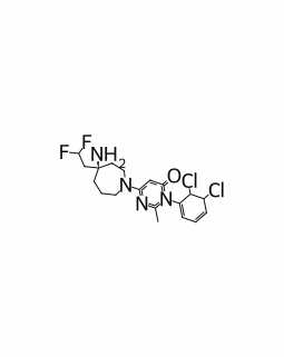 Cc1nc(N2CCC[C@](N)(CC(F)F)CC2)cc(=O)n1C1=CC=CC(Cl)C1Cl